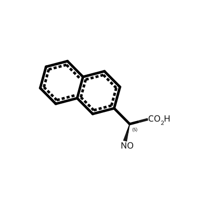 O=N[C@H](C(=O)O)c1ccc2ccccc2c1